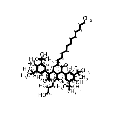 CCCCCCCCCCCCCCCC(C(C(=O)O)c1cc(C(C)(C)C)c(O)c(C(C)(C)C)c1)C(C(=O)OCC(O)CO)C(C(=O)O)c1cc(C(C)(C)C)c(O)c(C(C)(C)C)c1